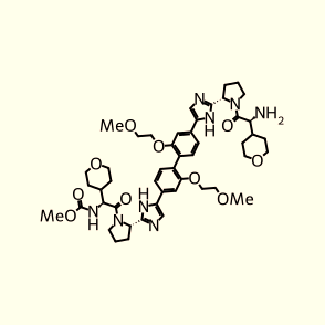 COCCOc1cc(-c2cnc([C@@H]3CCCN3C(=O)[C@@H](N)C3CCOCC3)[nH]2)ccc1-c1ccc(-c2cnc([C@@H]3CCCN3C(=O)[C@@H](NC(=O)OC)C3CCOCC3)[nH]2)cc1OCCOC